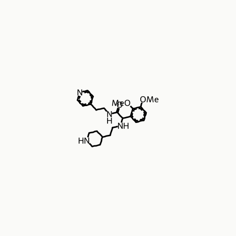 COc1cccc(C(NCCC2CCNCC2)C(=O)NCCc2ccncc2)c1OC